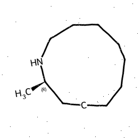 C[C@@H]1CCCCCCCCCN1